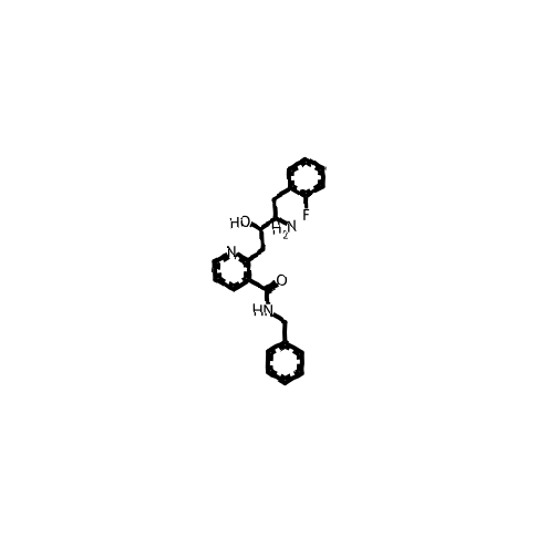 NC(Cc1ccccc1F)C(O)Cc1ncccc1C(=O)NCc1ccccc1